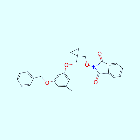 Cc1cc(OCc2ccccc2)cc(OCC2(CON3C(=O)c4ccccc4C3=O)CC2)c1